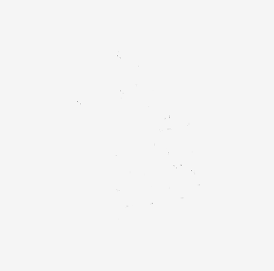 N#Cc1cncc(OCC23CC(C2)[C@@H](C(=O)N2N=CCC2c2cc(F)cc(F)c2)C3)n1